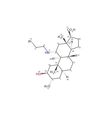 CC(=O)O[C@H]1C[C@@H]2CC[C@@H]3[C@H]([C@H](NCCC(C)C)C[C@]4(C)[C@@H](C(=O)O)CC[C@@H]34)[C@@]2(C)C[C@@H]1O